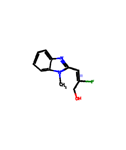 Cn1c(/C=C(/F)CO)nc2ccccc21